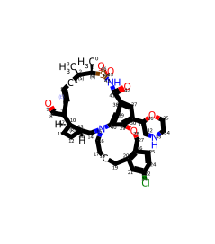 C[C@@H]1[C@@H](C)C/C=C/C(C=O)[C@@H]2CC[C@H]2CN2CCCCc3cc(Cl)ccc3COc3c(C4CNCCO4)cc(cc32)C(=O)NS1(=O)=O